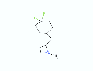 CN1CCC1CC1CCC(F)(F)CC1